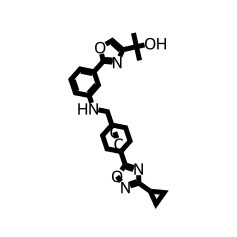 CC(C)(O)c1coc(-c2cccc(NCC34CCC(c5nc(C6CC6)no5)(CC3)CC4)c2)n1